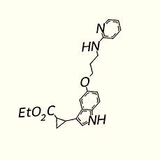 CCOC(=O)C1CC1c1c[nH]c2ccc(OCCCNc3ccccn3)cc12